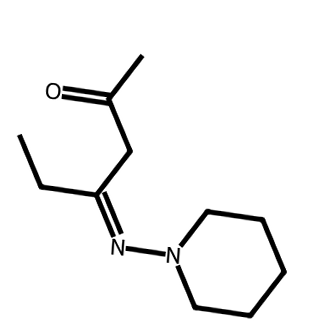 CCC(CC(C)=O)=NN1CCCCC1